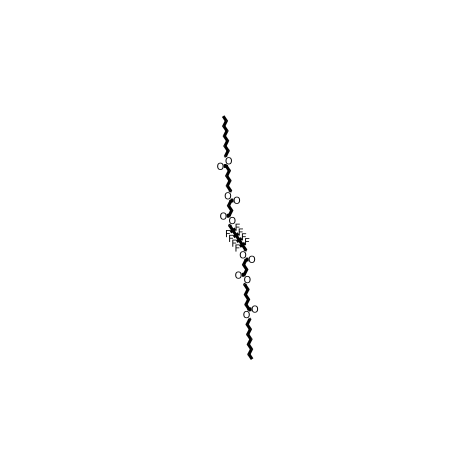 CCCCCCCCCOC(=O)CCCCCOC(=O)CCC(=O)OCC(F)(F)C(F)(F)C(F)(F)C(F)(F)COC(=O)CCC(=O)OCCCCCC(=O)OCCCCCCCCC